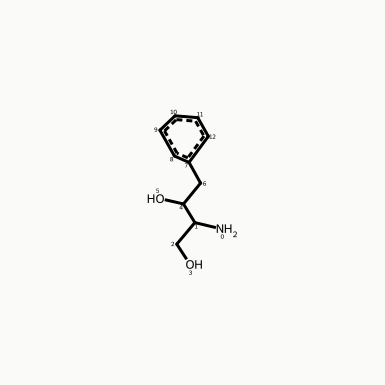 NC(CO)C(O)Cc1ccccc1